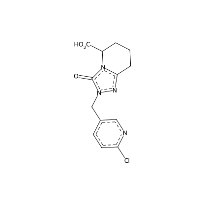 O=C(O)C1CCCc2nn(Cc3ccc(Cl)nc3)c(=O)n21